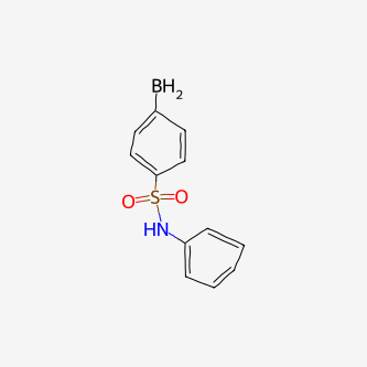 Bc1ccc(S(=O)(=O)Nc2ccccc2)cc1